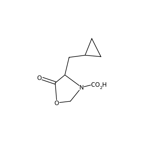 O=C1OCN(C(=O)O)C1CC1CC1